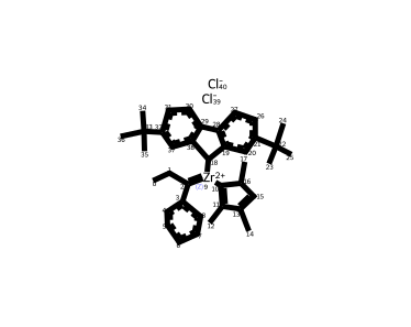 CC/[C](c1ccccc1)=[Zr+2](/[C]1=C(C)C(C)=CC1C)[CH]1c2cc(C(C)(C)C)ccc2-c2ccc(C(C)(C)C)cc21.[Cl-].[Cl-]